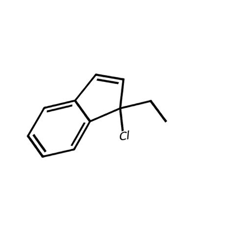 CCC1(Cl)C=Cc2ccccc21